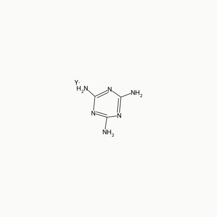 Nc1nc(N)nc(N)n1.[Y]